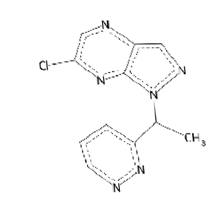 CC(c1cccnn1)n1ncc2ncc(Cl)nc21